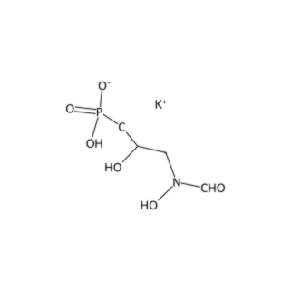 O=CN(O)CC(O)CP(=O)([O-])O.[K+]